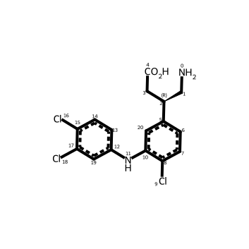 NC[C@H](CC(=O)O)c1ccc(Cl)c(Nc2ccc(Cl)c(Cl)c2)c1